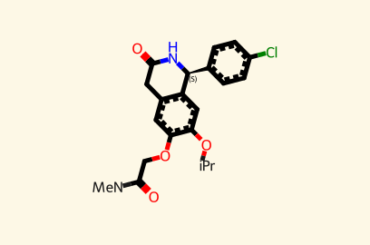 CNC(=O)COc1cc2c(cc1OC(C)C)[C@H](c1ccc(Cl)cc1)NC(=O)C2